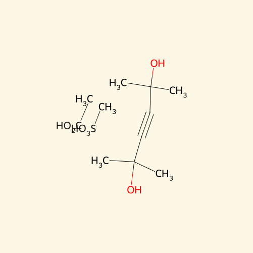 CC(=O)O.CC(C)(O)C#CC(C)(C)O.CS(=O)(=O)O